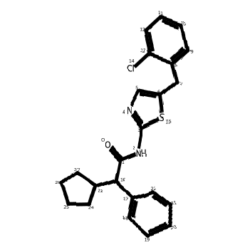 O=C(Nc1ncc(Cc2ccccc2Cl)s1)C(c1ccccc1)C1CCCC1